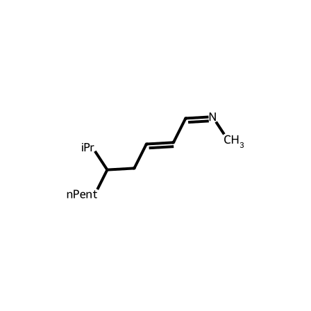 CCCCCC(C/C=C/C=N\C)C(C)C